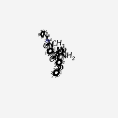 CN(C(=O)/C=C/CN1CCCC1)c1cccc(-n2c(=O)n(-c3ccc(Oc4ccccc4)cc3)c3c(N)ncnc32)c1